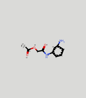 Nc1cccc(NC(=O)COC(=O)C(F)(F)F)c1